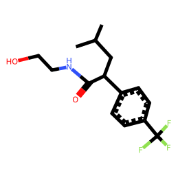 CC(C)CC(C(=O)NCCO)c1ccc(C(F)(F)F)cc1